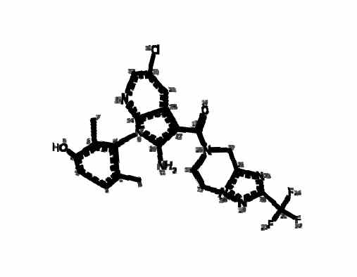 Cc1ccc(O)c(C)c1-n1c(N)c(C(=O)N2CCn3nc(C(F)(F)F)nc3C2)c2cc(Cl)cnc21